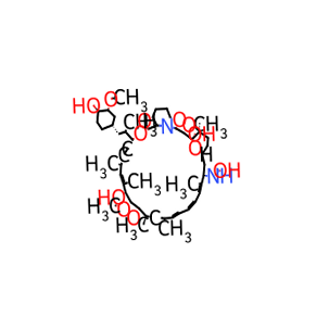 CO[C@@H]1C[C@H](C[C@@H](C)[C@@H]2CC[C@H](C)/C=C(\C)[C@@H](O)[C@@H](OC)C(=O)[C@H](C)C[C@H](C)/C=C/C=C/C=C(\C)[C@H](NO)C[C@@H]3CC[C@@H](C)[C@@](O)(O3)C(=O)C(=O)N3CCCC[C@H]3C(=O)O2)CC[C@H]1O